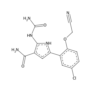 N#CCOc1ccc(Cl)cc1-c1cc(C(N)=O)c(NC(N)=O)[nH]1